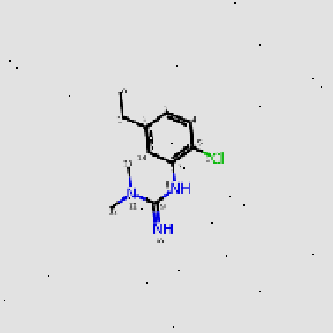 CCc1ccc(Cl)c(NC(=N)N(C)C)c1